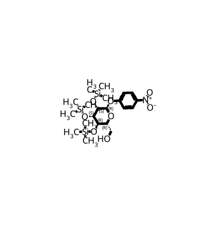 C[Si](C)(C)O[C@@H]1[C@H](O[Si](C)(C)C)[C@@H](Oc2ccc([N+](=O)[O-])cc2)O[C@H](CO)[C@H]1O[Si](C)(C)C